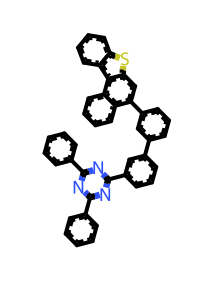 c1ccc(-c2nc(-c3ccccc3)nc(-c3cccc(-c4cccc(-c5cc6sc7ccccc7c6c6ccccc56)c4)c3)n2)cc1